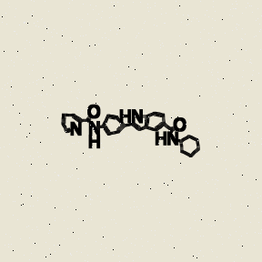 O=C(NC1CCCCC1)c1ccc2[nH]c(-c3ccc(NC(=O)c4ccccn4)cc3)cc2c1